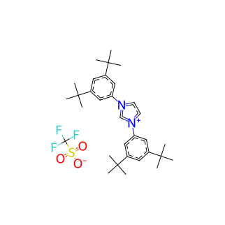 CC(C)(C)c1cc(-n2cc[n+](-c3cc(C(C)(C)C)cc(C(C)(C)C)c3)c2)cc(C(C)(C)C)c1.O=S(=O)([O-])C(F)(F)F